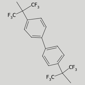 CC(c1ccc(-c2ccc(C(C)(C(F)(F)F)C(F)(F)F)cc2)cc1)(C(F)(F)F)C(F)(F)F